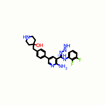 N=N/N=C(\Nc1cccc(F)c1F)c1cc(-c2ccc(CC3(O)CCNCC3)cc2)cnc1N